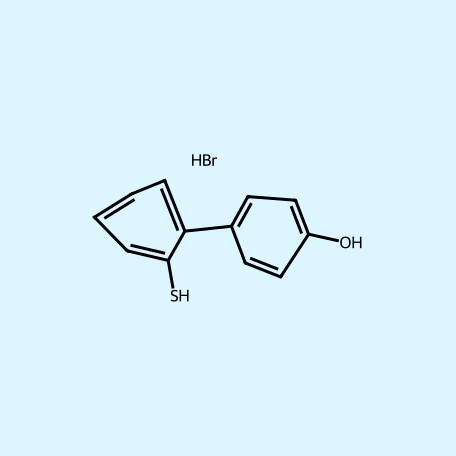 Br.Oc1ccc(-c2ccccc2S)cc1